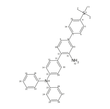 C[Si](C)(C)c1ccc(-c2ccc(-c3ccc(N(c4ccccc4)c4ccccc4)cc3)c(N)c2)cc1